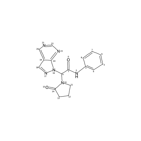 O=C(Nc1ccccc1)C(N1CCCC1=O)n1ncc2cncnc21